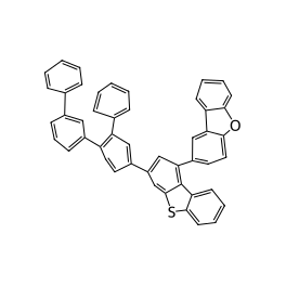 c1ccc(-c2cccc(-c3ccc(-c4cc(-c5ccc6oc7ccccc7c6c5)c5c(c4)sc4ccccc45)cc3-c3ccccc3)c2)cc1